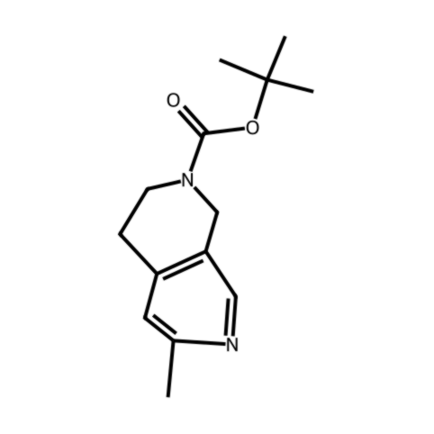 Cc1cc2c(cn1)CN(C(=O)OC(C)(C)C)CC2